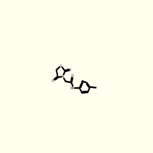 [CH2]c1ccc(NC(=O)CN2C(=O)CSC2=S)cc1